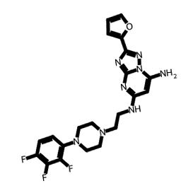 Nc1cc(NCCN2CCN(c3ccc(F)c(F)c3F)CC2)nc2nc(-c3ccco3)nn12